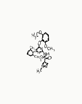 COc1cccc(OC)c1Oc1cc(-c2c(C)cccc2C)nc(NS(=O)(=O)c2cnn(C)c2)n1